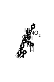 CC1(C)CCC(CNc2ncc(S(=O)(=O)NC(=O)c3ccc(N4CCC5(CC4)CC(N4CCS(=O)(=O)C[C@H]4c4ccccc4C4CC4)C5)cc3Oc3cnc4[nH]ccc4c3)cc2[N+](=O)[O-])CC1